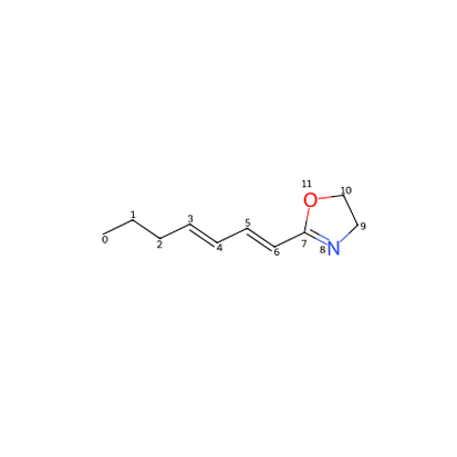 CCCC=CC=CC1=NCCO1